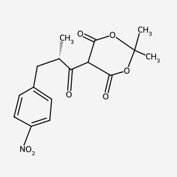 C[C@@H](Cc1ccc([N+](=O)[O-])cc1)C(=O)C1C(=O)OC(C)(C)OC1=O